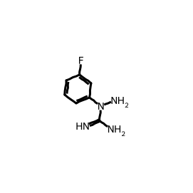 N=C(N)N(N)c1cccc(F)c1